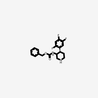 O=C(NC1CNCC[C@@H]1c1cc(F)c(F)cc1F)OCc1ccccc1